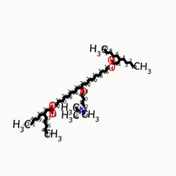 CCCCCC(CCCCC)CC(=O)OCCCCCCCCCC(CCCCCCCCOC(=O)CC(CCCCC)CCCCC)OCCCCN(C)C(C)C